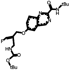 CC(C)(C)NC(=O)c1ncc2cc(OC/C(=C/F)CNC(=O)OC(C)(C)C)ccc2n1